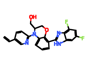 C=Cc1ccc(N2c3cccc(-c4nc5c(F)cc(F)cc5[nH]4)c3OCC2CO)nc1